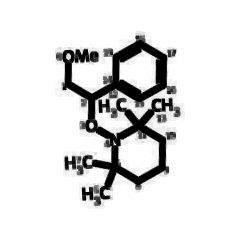 COCC(ON1C(C)(C)CCCC1(C)C)c1ccccc1